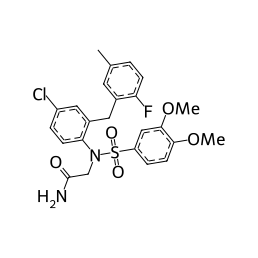 COc1ccc(S(=O)(=O)N(CC(N)=O)c2ccc(Cl)cc2Cc2cc(C)ccc2F)cc1OC